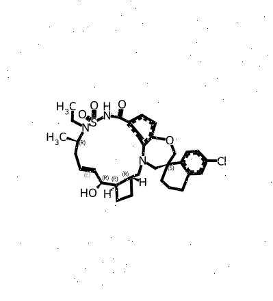 CCN1[C@H](C)C/C=C/[C@H](O)[C@@H]2CC[C@H]2CN2C[C@@]3(CCCc4cc(Cl)ccc43)COc3ccc(cc32)C(=O)NS1(=O)=O